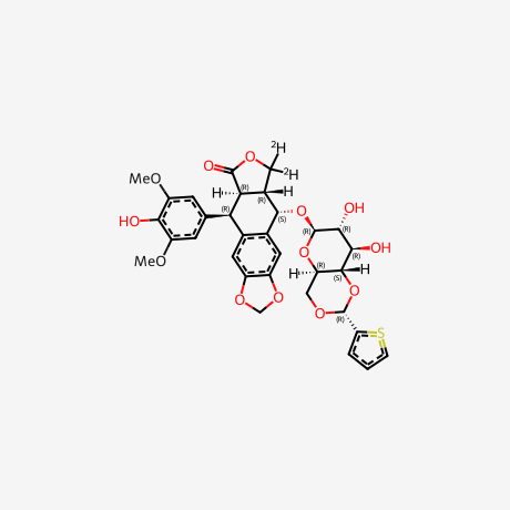 [2H]C1([2H])OC(=O)[C@@H]2[C@H](c3cc(OC)c(O)c(OC)c3)c3cc4c(cc3[C@@H](O[C@@H]3O[C@@H]5CO[C@@H](c6cccs6)O[C@H]5[C@H](O)[C@H]3O)[C@H]21)OCO4